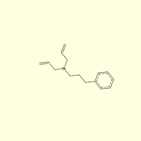 C=CCN(CC=C)CCCc1ccccc1